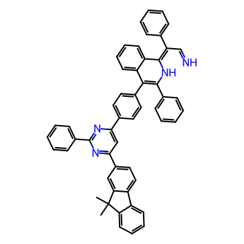 CC1(C)c2ccccc2-c2ccc(-c3cc(-c4ccc(C5=C(c6ccccc6)N/C(=C(\C=N)c6ccccc6)c6ccccc65)cc4)nc(-c4ccccc4)n3)cc21